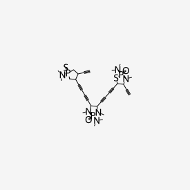 C#CC1CP(=S)(N(C)C)CC1C#CC#CC1C(C#CC#CC2SP(=O)(N(C)C)N(C)C2C#C)N(C)P(=O)(N(C)C)N1C